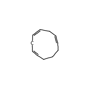 C1=CCC=CCCCC=CC1